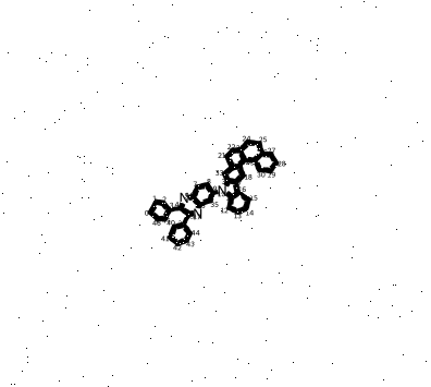 c1ccc(-c2nc3ccc(-n4c5ccccc5c5cc6c(ccc7ccc8ccccc8c76)cc54)cc3nc2-c2ccccc2)cc1